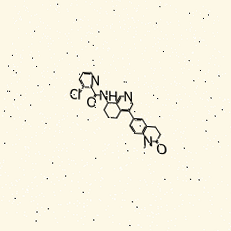 CN1C(=O)CCc2cc(-c3cncc4c3CCCC4NC(=O)c3ncccc3Cl)ccc21